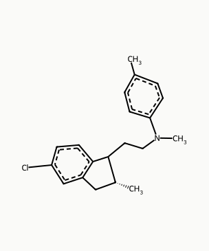 Cc1ccc(N(C)CCC2c3ccc(Cl)cc3C[C@H]2C)cc1